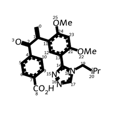 C=C(C(=O)c1ccc(C(=O)O)cc1)c1cc(-c2nncn2CC(C)C)c(OC)cc1OC